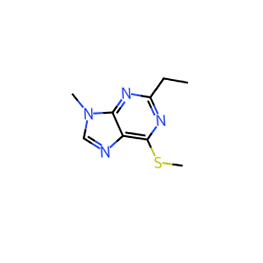 CCc1nc(SC)c2ncn(C)c2n1